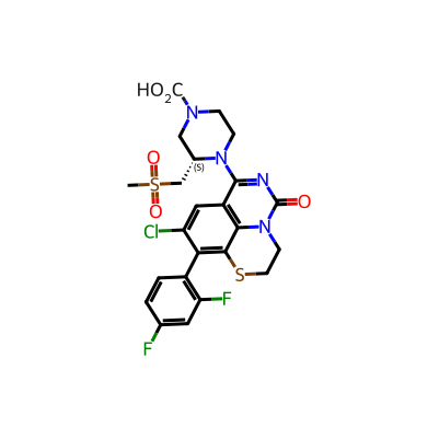 CS(=O)(=O)C[C@@H]1CN(C(=O)O)CCN1c1nc(=O)n2c3c(c(-c4ccc(F)cc4F)c(Cl)cc13)SCC2